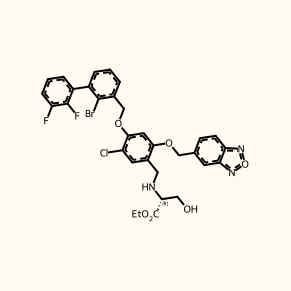 CCOC(=O)[C@@H](CO)NCc1cc(Cl)c(OCc2cccc(-c3cccc(F)c3F)c2Br)cc1OCc1ccc2nonc2c1